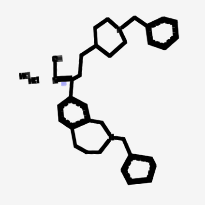 Cl.Cl.O/N=C(\CCC1CCN(Cc2ccccc2)CC1)c1ccc2c(c1)CN(Cc1ccccc1)CCC2